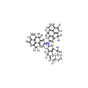 CC1=C2C=CCC3C2C2C(=C1)C(C)(C)C1=CC(N(c4cc5c6c(c4)C(C)(C)c4cccc7c(C)cc(c-6c47)C5(C)C)c4cc5c6c(c4)C(C)(C)c4cccc7c(C)cc(c-6c47)C5(C)C)CC(=C12)C3(C)C